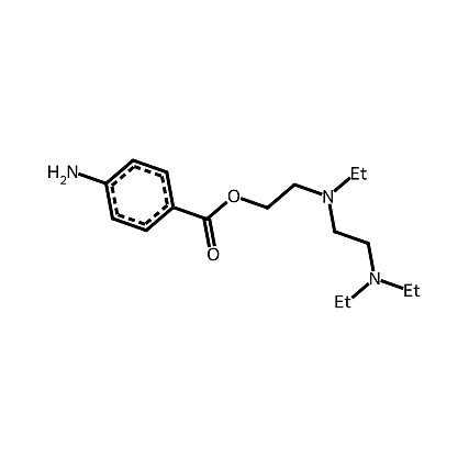 CCN(CC)CCN(CC)CCOC(=O)c1ccc(N)cc1